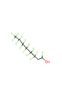 OC(F)CC(F)(F)C(F)(F)C(F)(F)C(F)(F)C(F)(F)C(F)(F)F